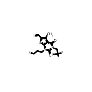 Cc1c(C=O)sc2c1c(=O)n(CC(F)(F)F)c(=O)n2CCCF